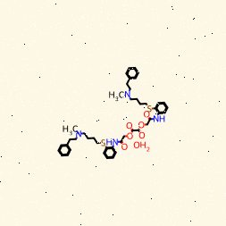 CN(CCCCSc1ccccc1NC(=O)COC(=O)C(=O)OCC(=O)Nc1ccccc1SCCCCN(C)CCc1ccccc1)CCc1ccccc1.O